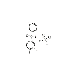 Cc1ccc(S(=O)(=O)c2ccccc2)cc1C.O=S(=O)(Cl)Cl